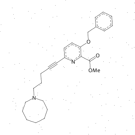 COC(=O)c1nc(C#CCCCN2CCCCCCC2)ccc1OCc1ccccc1